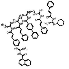 CC(C)(C)NC(=N)NC(=O)C=Cc1ccccc1.N=C(N)NC(=O)C=Cc1ccccc1.N=C(N)NC(=O)c1ccc(-c2ccccc2)cc1.N=C(N)NC(=O)c1cccc2ccccc12.N=C(NOC(F)(F)F)NC(=O)C=Cc1ccccc1.NC(=NC1CCCCC1)NC(=O)C=Cc1ccccc1